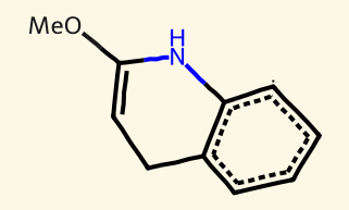 COC1=CCc2ccc[c]c2N1